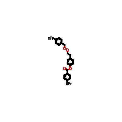 CCCc1ccc(COOCCc2ccc(OC(=O)c3ccc(CCC)cc3)cc2)cc1